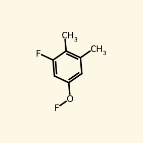 Cc1cc(OF)cc(F)c1C